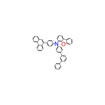 c1ccc(-c2cccc(-c3ccc(N(c4ccc(-c5cc6ccccc6c6ccccc56)cc4)c4cccc5c4oc4ccccc45)cc3)c2)cc1